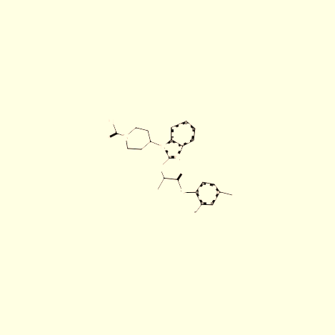 Cc1ccc(NC(=O)C(C)Sc2nc3ccccc3n2C2CCN(C(=O)C(C)(C)C)CC2)c(Cl)c1